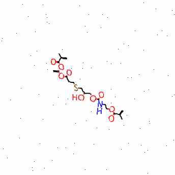 C=C(OC(=O)CCSCC(O)COC(=O)NCCOC(=O)C(=C)C)OC(=O)C(=C)C